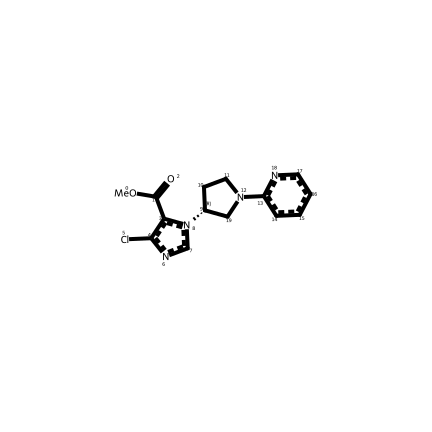 COC(=O)c1c(Cl)ncn1[C@@H]1CCN(c2ccccn2)C1